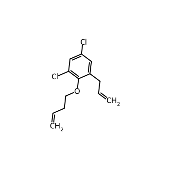 C=CCCOc1c(Cl)cc(Cl)cc1CC=C